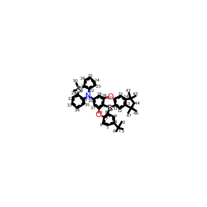 CC(C)(C)c1ccc2c(c1)B1c3cc4c(cc3Oc3cc(N5c6ccccc6[Si](C)(C)c6ccccc65)cc(c31)O2)C(C)(C)CC4(C)C